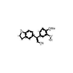 CCOc1cc(C(=CC#N)c2ccc3c(c2)CCO3)ccc1OC